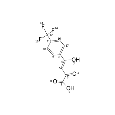 O=C(O)C(=O)C=C(O)c1ccc(C(F)(F)F)cc1